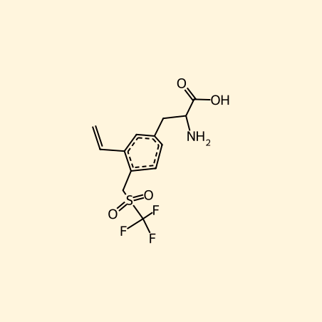 C=Cc1cc(CC(N)C(=O)O)ccc1CS(=O)(=O)C(F)(F)F